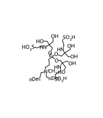 CCCCCCCCCCC[N+](C)(CCCCCCCCCCC)CCC[Si](OCC(CO)(CO)NCCS(=O)(=O)O)(OCC(CO)(CO)NCCS(=O)(=O)O)OCC(CO)(CO)NCCS(=O)(=O)O